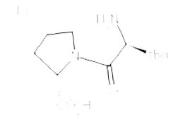 C[C@H]1C[C@@H](C(=O)O)N(C(=O)[C@@H](N)C(C)(C)C)C1